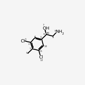 Cc1c(Cl)cc([C@@H](O)CN)cc1Cl